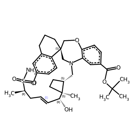 C[C@H](C/C=C/[C@@H](O)[C@@]1(C)CC[C@@H]1CN1C[C@@]2(CCCc3cc(Cl)ccc32)COc2ccc(C(=O)OC(C)(C)C)cc21)S(N)(=O)=O